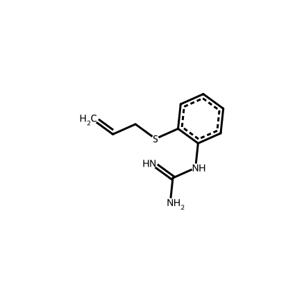 C=CCSc1ccccc1NC(=N)N